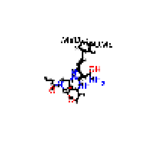 C=CC(=O)N1CC[C@H](n2nc(C#Cc3cc(OC)cc(OC)c3)c(C(N)O)c2NC2CCOCC2)C1